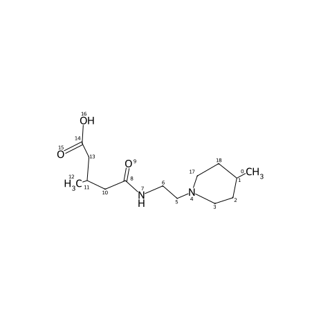 CC1CCN(CCNC(=O)CC(C)CC(=O)O)CC1